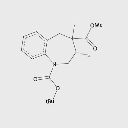 COC(=O)C1(C)Cc2ccccc2N(C(=O)OC(C)(C)C)C[C@H]1C